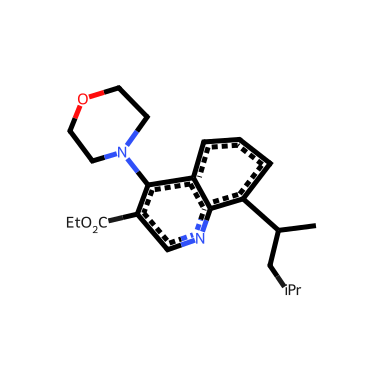 CCOC(=O)c1cnc2c(C(C)CC(C)C)cccc2c1N1CCOCC1